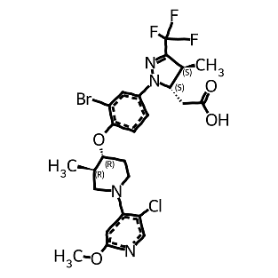 COc1cc(N2CC[C@@H](Oc3ccc(N4N=C(C(F)(F)F)[C@@H](C)[C@@H]4CC(=O)O)cc3Br)[C@H](C)C2)c(Cl)cn1